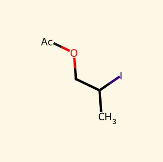 CC(=O)OCC(C)I